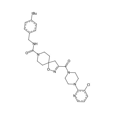 CC(C)(C)c1ccc(CNC(=O)N2CCC3(CC2)CC(C(=O)N2CCN(c4ncccc4Cl)CC2)=NO3)cc1